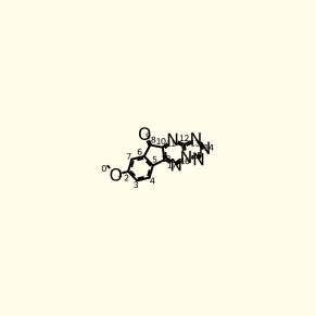 COc1ccc2c(c1)C(=O)c1nc3nnnn3nc1-2